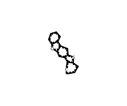 c1ccc2c(c1)oc1cc3c(cc12)sc1ccccc13